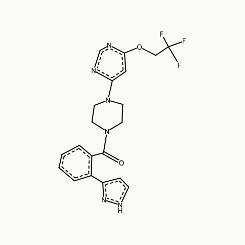 O=C(c1ccccc1-c1cc[nH]n1)N1CCN(c2cc(OCC(F)(F)F)ncn2)CC1